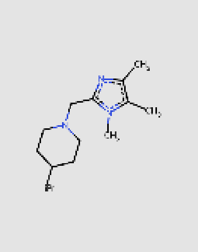 Cc1nc(CN2CCC(C(C)C)CC2)n(C)c1C